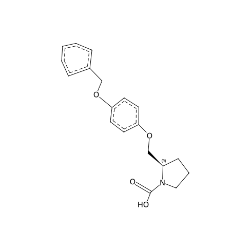 O=C(O)N1CCC[C@@H]1COc1ccc(OCc2ccccc2)cc1